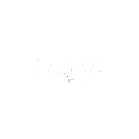 CC1(C)CCC(C)(C)c2c1ccc(C(O)C(=O)Nc1ccc(C(=O)O)cc1F)c2C=O